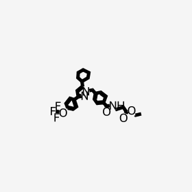 CCOC(=O)CCNC(=O)c1ccc(Cn2nc(-c3ccc(OC(F)(F)F)cc3)cc2C2CCCCC2)cc1